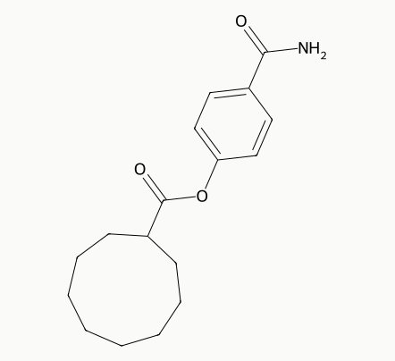 NC(=O)c1ccc(OC(=O)C2CCCCCCCC2)cc1